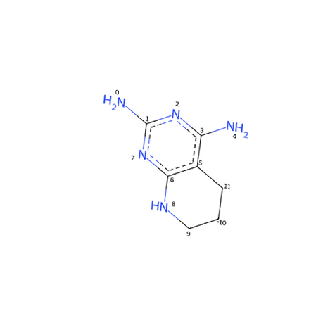 Nc1nc(N)c2c(n1)NC[CH]C2